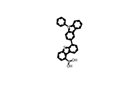 OB(O)c1cccc2sc3c(-c4ccc5c(c4)c4ccccc4n5-c4ccccc4)cccc3c12